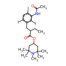 CCC(Cc1c(I)cc(I)c(NC(C)=O)c1I)C(=O)OC1CC(C)(C)N(C)C(C)(C)C1